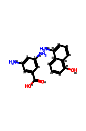 Nc1cc(N)cc(C(=O)O)c1.Nc1cccc2c(O)cccc12